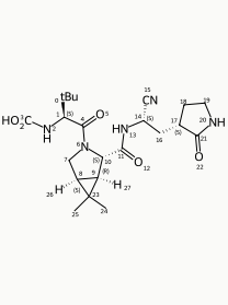 CC(C)(C)[C@H](NC(=O)O)C(=O)N1C[C@H]2[C@@H]([C@H]1C(=O)N[C@H](C#N)C[C@@H]1CCNC1=O)C2(C)C